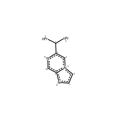 CCCC(CCC)c1cn2ccnc2cn1